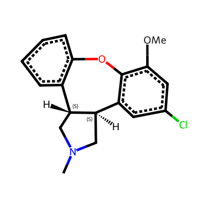 COc1cc(Cl)cc2c1Oc1ccccc1[C@H]1CN(C)C[C@H]21